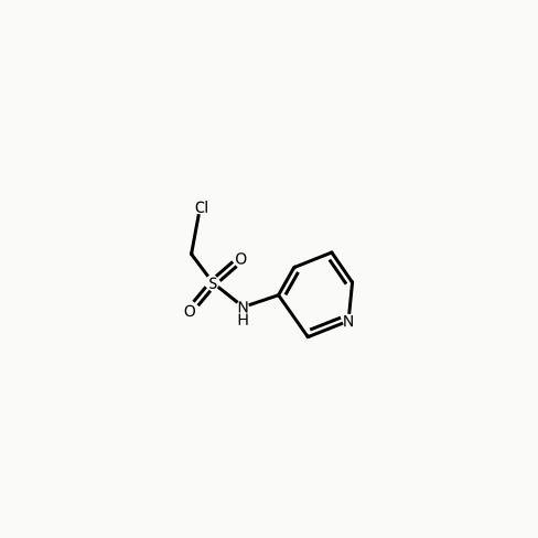 O=S(=O)(CCl)Nc1cccnc1